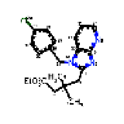 CCOC(=O)CC(C)(C)Cc1nc2ncccc2n1Cc1ccc(Cl)cc1